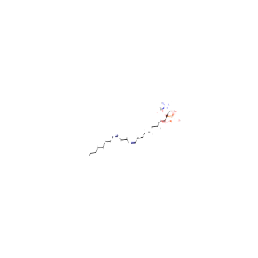 CCCCCCC/C=C\CC/C=C\CCCCCCCCC(O)(C[N+](C)(C)C)P(=O)(O)O